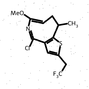 COC1=C\CC(C)c2sc(CC(F)(F)F)cc2/C(Cl)=N\1